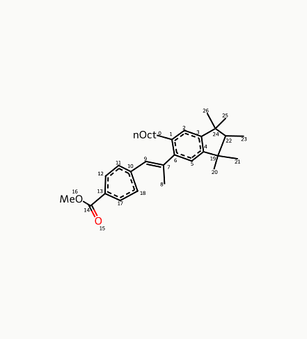 CCCCCCCCc1cc2c(cc1C(C)=Cc1ccc(C(=O)OC)cc1)C(C)(C)C(C)C2(C)C